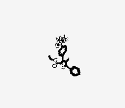 CCOC(=O)c1sc(-c2ccccc2)c(C)c1-c1ccc(S(N)(=O)=O)cc1